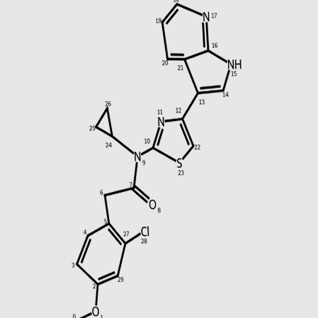 COc1ccc(CC(=O)N(c2nc(-c3c[nH]c4ncccc34)cs2)C2CC2)c(Cl)c1